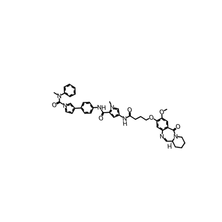 COc1cc2c(cc1OCCCC(=O)Nc1cc(C(=O)Nc3ccc(-c4ccn(C(=O)N(C)c5ccccc5)c4)cc3)n(C)c1)N=C[C@@H]1CCCCN1C2=O